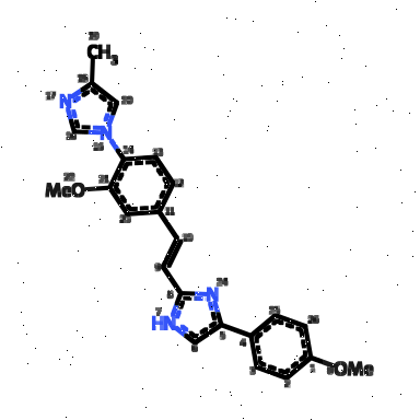 COc1ccc(-c2c[nH]c(C=Cc3ccc(-n4cnc(C)c4)c(OC)c3)n2)cc1